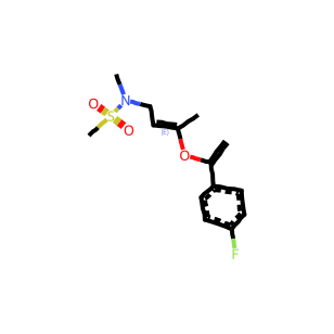 C=C(O/C(C)=C/CN(C)S(C)(=O)=O)c1ccc(F)cc1